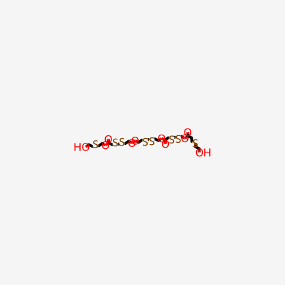 O=C(CCSCCO)OCSCSCC(=O)OCCSCSCCOOCCSCSCC(=O)OCCSCCO